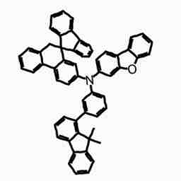 CC1(C)c2ccccc2-c2cccc(-c3cccc(N(c4ccc5c(c4)C4(Cc6ccccc6-5)c5ccccc5-c5ccccc54)c4ccc5c(c4)oc4ccccc45)c3)c21